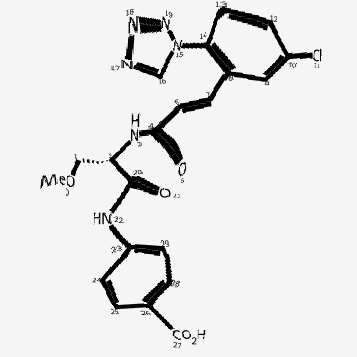 COC[C@H](NC(=O)/C=C/c1cc(Cl)ccc1-n1cnnn1)C(=O)Nc1ccc(C(=O)O)cc1